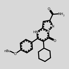 CCCCOc1ccc(-c2[nH]c3cc(C(N)=O)nn3c(=O)c2C2CCCCC2)cc1